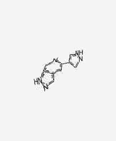 c1n[nH]cc1-c1cc2cn[nH]c2cn1